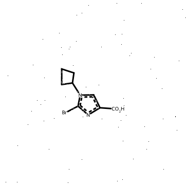 O=C(O)c1cn(C2CCC2)c(Br)n1